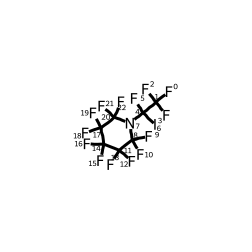 FC(F)(F)C(F)(I)N1C(F)(F)C(F)(F)C(F)(F)C(F)(F)C1(F)F